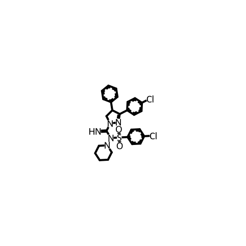 N=C(N1CC(c2ccccc2)C(c2ccc(Cl)cc2)=N1)N(N1CCCCC1)S(=O)(=O)c1ccc(Cl)cc1